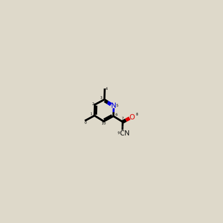 Cc1cc(C)nc(C(=O)C#N)c1